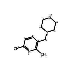 Cc1nc(Cl)ccc1CN1CCSCC1